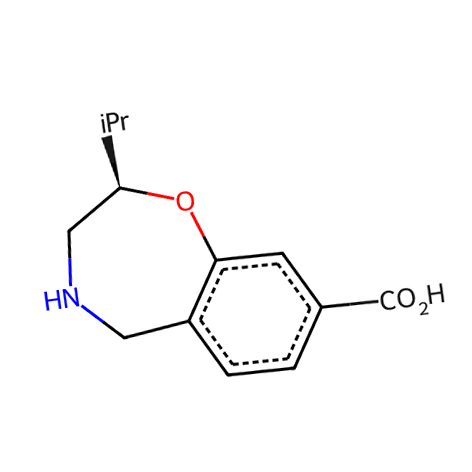 CC(C)[C@@H]1CNCc2ccc(C(=O)O)cc2O1